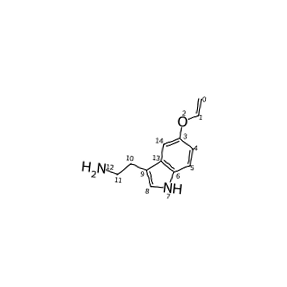 C=COc1ccc2[nH]cc(CCN)c2c1